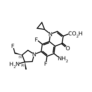 C[C@]1(N)CN(c2c(F)c(N)c3c(=O)c(C(=O)O)cn(C4CC4)c3c2F)C[C@@H]1CF